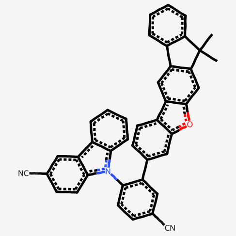 CC1(C)c2ccccc2-c2cc3c(cc21)oc1cc(-c2cc(C#N)ccc2-n2c4ccccc4c4cc(C#N)ccc42)ccc13